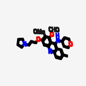 COc1c(OCCCN2CCCC2)cc2nc3ccc(C)cc3c(NC3CCOCC3)c2c1OC=O